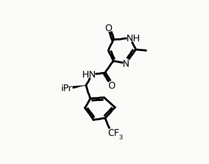 Cc1nc(C(=O)N[C@@H](c2ccc(C(F)(F)F)cc2)C(C)C)cc(=O)[nH]1